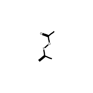 C=C(C)SOC(C)=O